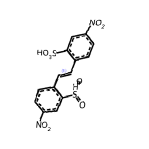 O=[N+]([O-])c1ccc(/C=C/c2ccc([N+](=O)[O-])cc2S(=O)(=O)O)c([SH](=O)=O)c1